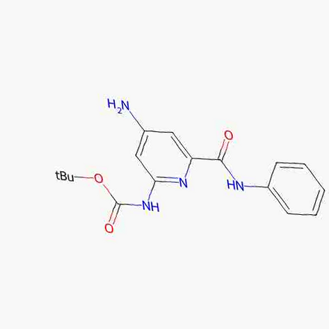 CC(C)(C)OC(=O)Nc1cc(N)cc(C(=O)Nc2ccccc2)n1